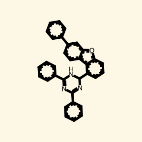 c1ccc(C2=NC(c3cccc4oc5cc(-c6ccccc6)ccc5c34)NC(c3ccccc3)=N2)cc1